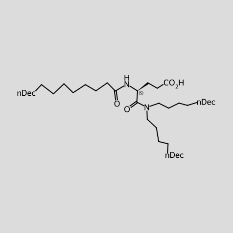 CCCCCCCCCCCCCCCCCC(=O)N[C@@H](CCC(=O)O)C(=O)N(CCCCCCCCCCCCCC)CCCCCCCCCCCCCC